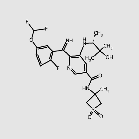 C[C@@H](Nc1cc(C(=O)NC2(C)CS(=O)(=O)C2)cnc1C(=N)c1cc(OC(F)F)ccc1F)C(C)(C)O